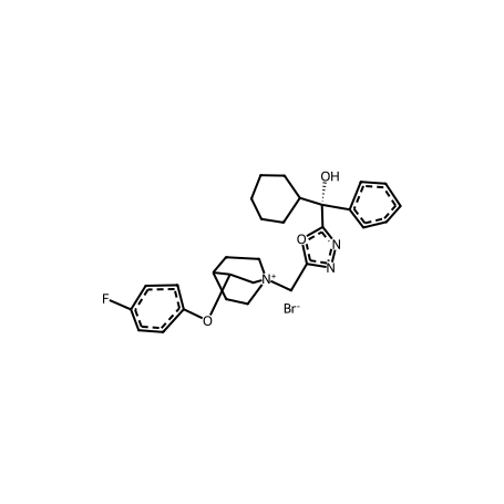 O[C@](c1ccccc1)(c1nnc(C[N+]23CCC(CC2)C(Oc2ccc(F)cc2)C3)o1)C1CCCCC1.[Br-]